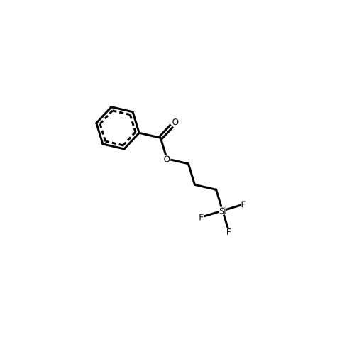 O=C(OCCC[Si](F)(F)F)c1ccccc1